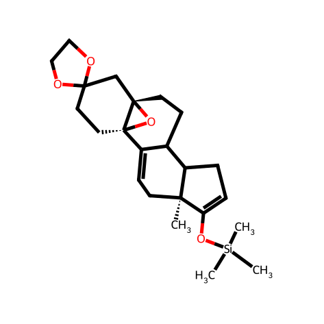 C[C@]12CC=C3C(CC[C@]45CC6(CC[C@]34O5)OCCO6)C1CC=C2O[Si](C)(C)C